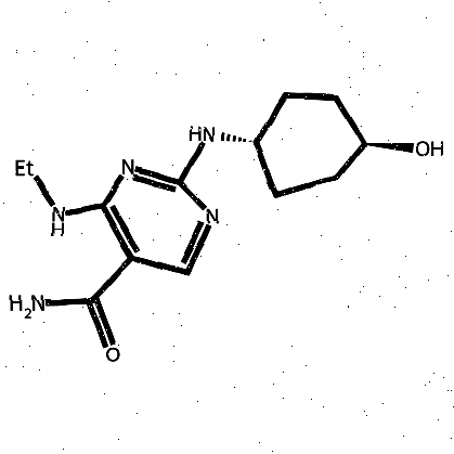 CCNc1nc(N[C@H]2CC[C@H](O)CC2)ncc1C(N)=O